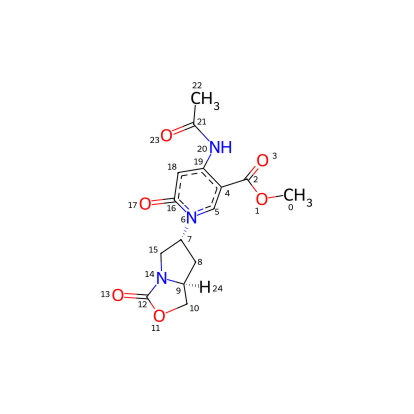 COC(=O)c1cn([C@@H]2C[C@H]3COC(=O)N3C2)c(=O)cc1NC(C)=O